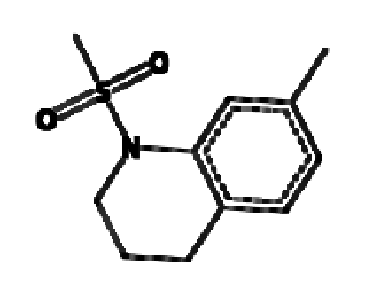 Cc1ccc2c(c1)N(S(C)(=O)=O)CCC2